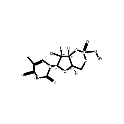 Cc1cn([C@@H]2O[C@@H]3COP(=O)(OC(C)C)O[C@H]3[C@@]2(F)Cl)c(=O)[nH]c1=O